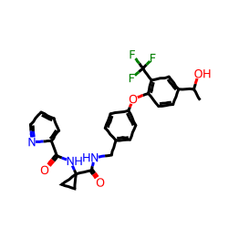 CC(O)c1ccc(Oc2ccc(CNC(=O)C3(NC(=O)c4ccccn4)CC3)cc2)c(C(F)(F)F)c1